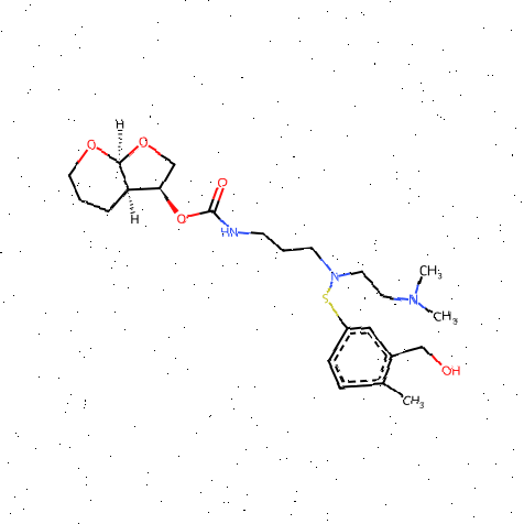 Cc1ccc(SN(CCCNC(=O)O[C@@H]2CO[C@@H]3OCCC[C@@H]32)CCN(C)C)cc1CO